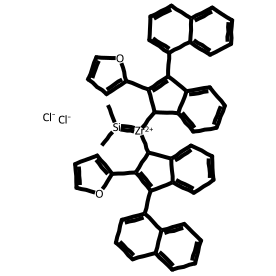 C[Si](C)=[Zr+2]([CH]1C(c2ccco2)=C(c2cccc3ccccc23)c2ccccc21)[CH]1C(c2ccco2)=C(c2cccc3ccccc23)c2ccccc21.[Cl-].[Cl-]